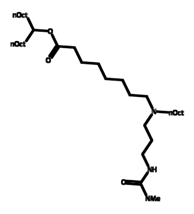 CCCCCCCCC(CCCCCCCC)OC(=O)CCCCCCCN(CCCCCCCC)CCCNC(=O)NC